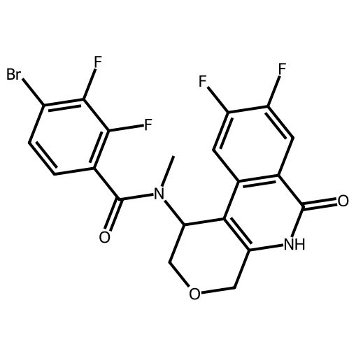 CN(C(=O)c1ccc(Br)c(F)c1F)C1COCc2[nH]c(=O)c3cc(F)c(F)cc3c21